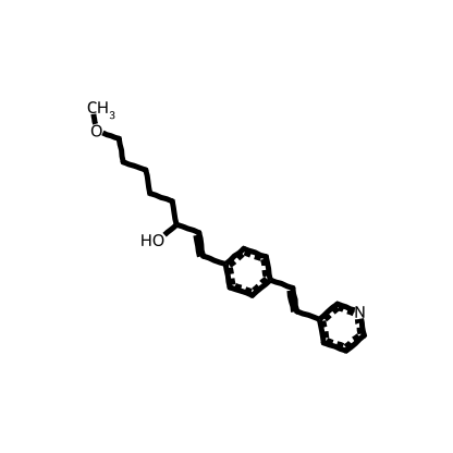 COCCCCCC(O)/C=C/c1ccc(/C=C/c2cccnc2)cc1